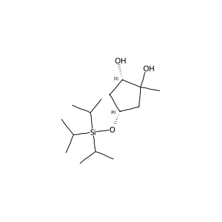 CC(C)[Si](O[C@@H]1C[C@H](O)C(C)(O)C1)(C(C)C)C(C)C